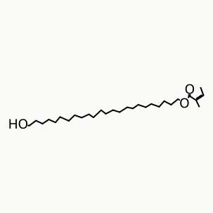 CC=C(C)C(=O)OCCCCCCCCCCCCCCCCCCCCCCCCO